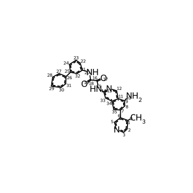 Cc1ccncc1-c1cc(N)c2cnc(NC(=O)C(=O)Nc3cccc(-c4ccccc4)c3)cc2c1